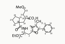 CCOC(=O)[C@H](Cc1nc(C)c(-c2ccccc2)o1)NC(=O)C1(C[C@@H](CCOC)C(=O)O)CCCC1